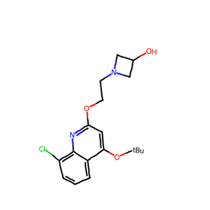 CC(C)(C)Oc1cc(OCCN2CC(O)C2)nc2c(Cl)cccc12